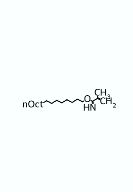 C=C(C)C(=N)OCCCCCCCCCCCCCCCC